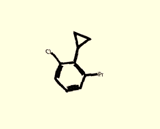 [CH2]C(C)c1cccc(Cl)c1C1CC1